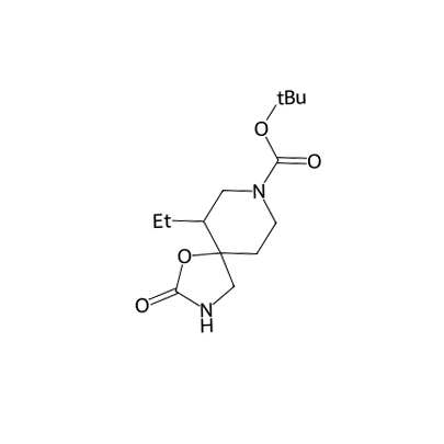 CCC1CN(C(=O)OC(C)(C)C)CCC12CNC(=O)O2